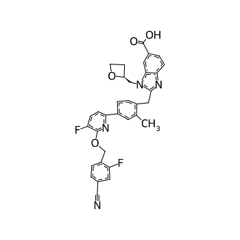 Cc1cc(-c2ccc(F)c(OCc3ccc(C#N)cc3F)n2)ccc1Cc1nc2ccc(C(=O)O)cc2n1C[C@@H]1CCO1